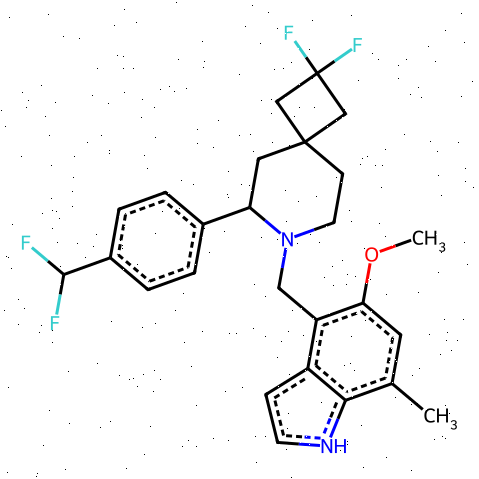 COc1cc(C)c2[nH]ccc2c1CN1CCC2(CC1c1ccc(C(F)F)cc1)CC(F)(F)C2